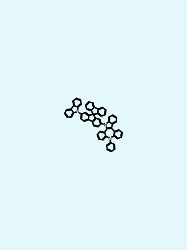 c1ccc(N2c3ccccc3-c3c(n(-c4ccc5c(c4)C4(c6ccccc6-c6ccccc64)c4cc(-n6c7ccccc7c7ccccc76)ccc4-5)c4ccccc34)-c3ccccc32)cc1